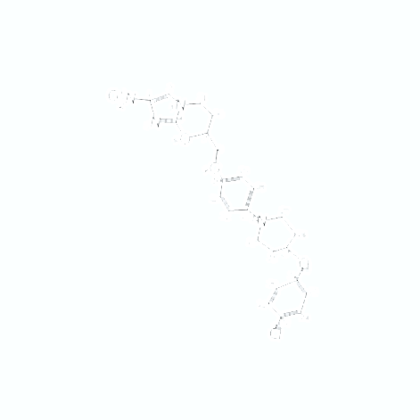 O=[N+]([O-])c1cn2c(n1)OC(COc1ccc(N3CCC(Oc4ccc(Cl)cc4)CC3)cc1)CC2